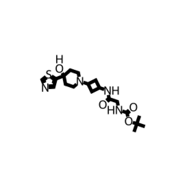 CC(C)(C)OC(=O)NCC(=O)NC1CC(N2CCC(O)(c3cncs3)CC2)C1